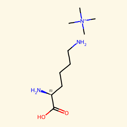 C[N+](C)(C)C.NCCCC[C@H](N)C(=O)O